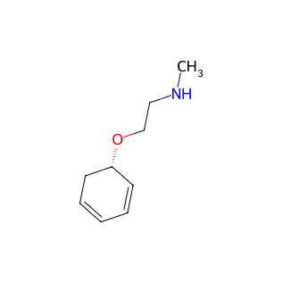 CNCCO[C@@H]1C=CC=CC1